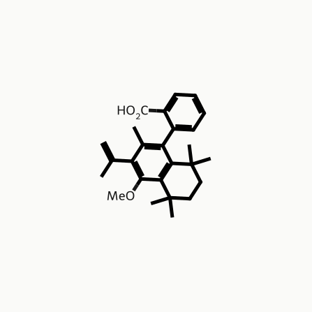 C=C(C)c1c(C)c(-c2ccccc2C(=O)O)c2c(c1OC)C(C)(C)CCC2(C)C